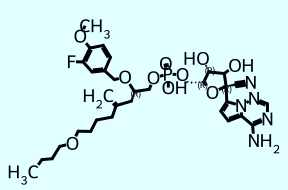 C=C(CCCCOCCCC)C[C@H](COP(=O)(O)OC[C@H]1O[C@@](C#N)(c2ccc3c(N)ncnn23)C(O)[C@H]1O)OCc1ccc(OC)c(F)c1